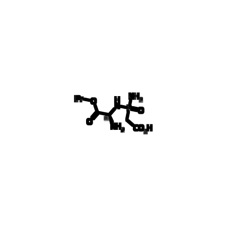 CC(C)OC(=O)[C@H](N)NP(N)(=O)CC(=O)O